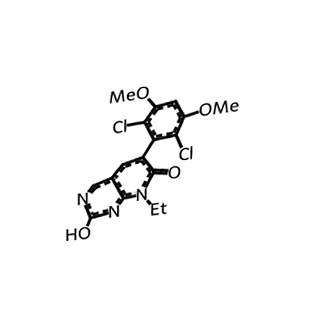 CCn1c(=O)c(-c2c(Cl)c(OC)cc(OC)c2Cl)cc2cnc(O)nc21